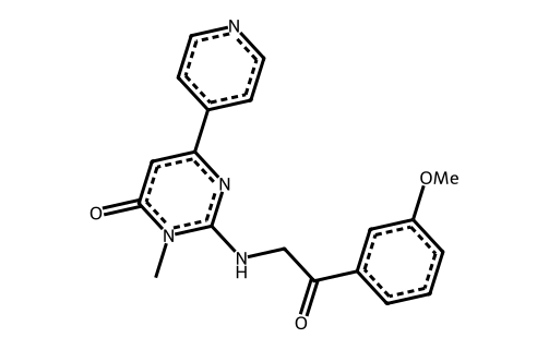 COc1cccc(C(=O)CNc2nc(-c3ccncc3)cc(=O)n2C)c1